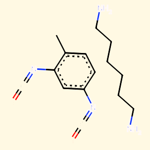 Cc1ccc(N=C=O)cc1N=C=O.NCCCCCCN